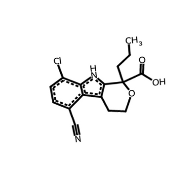 CCCC1(C(=O)O)OCCc2c1[nH]c1c(Cl)ccc(C#N)c21